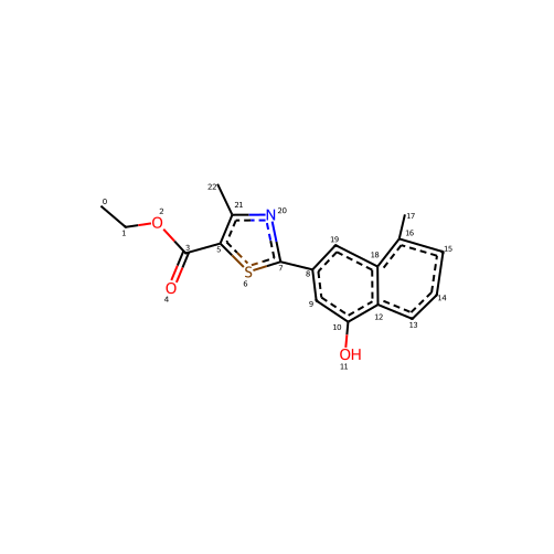 CCOC(=O)c1sc(-c2cc(O)c3cccc(C)c3c2)nc1C